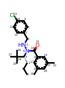 CCC[C@@H](N(NCc1ccc(Cl)cc1)C(=O)c1cc(C)cc(C)c1)C(C)(C)C